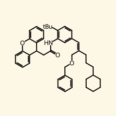 CC(C)(C)c1ccc(C=C(CCCC2CCCCC2)COCc2ccccc2)cc1NC(=O)CC1c2ccccc2Oc2ccccc21